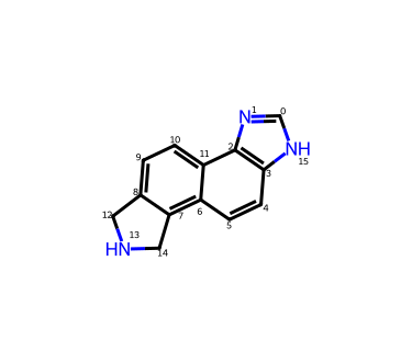 c1nc2c(ccc3c4c(ccc32)CNC4)[nH]1